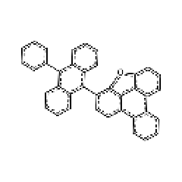 c1ccc(-c2c3ccccc3c(-c3ccc4c5ccccc5c5cccc6oc3c4c65)c3ccccc23)cc1